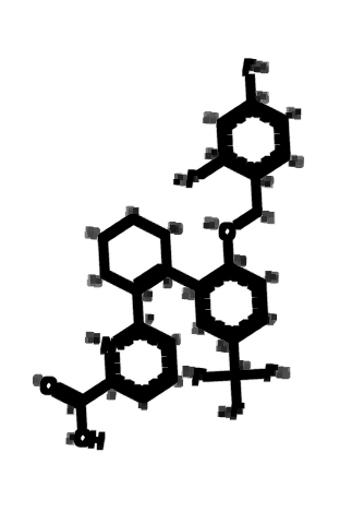 O=C(O)c1cccc(C2=C(c3cc(C(F)(F)F)ccc3OCc3ccc(F)cc3F)CCCC2)n1